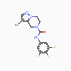 CC(=O)c1cnn2c1CN(C(=O)Nc1cc(F)c(F)c(F)c1)CC2